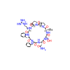 CCCC[C@@H]1NC(=O)[C@H](CO)NC(=O)[C@H](CC(N)=O)NC(=O)[C@H](Cc2ccccc2)NC(=O)[C@H](Cc2ccccc2)NC(=O)[C@H](CCCNC(=N)N)NC(=O)[C@@H]2CCCN2C(=O)[C@H]2CCCN2C1=O